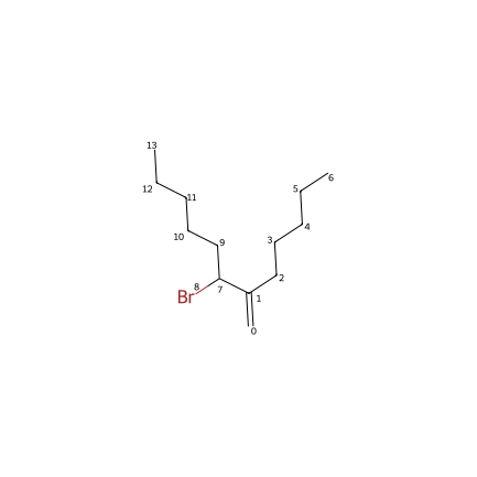 C=C(CCCCC)C(Br)CCCCC